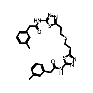 Cc1cccc(CC(=O)Nc2nnc(CCSCCc3nnc(NC(=O)Cc4cccc(C)c4)s3)s2)c1